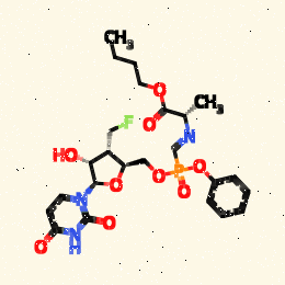 CCCCOC(=O)[C@H](C)/N=C/P(=O)(OC[C@H]1O[C@@H](n2ccc(=O)[nH]c2=O)[C@H](O)[C@@H]1CF)Oc1ccccc1